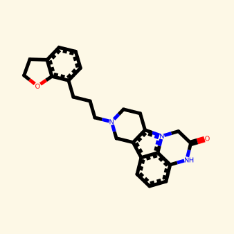 O=C1Cn2c3c(c4cccc(c42)N1)CN(CCCc1cccc2c1OCC2)CC3